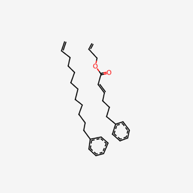 C=CCCCCCCCCCCc1ccccc1.C=CCOC(=O)C=CCCCc1ccccc1